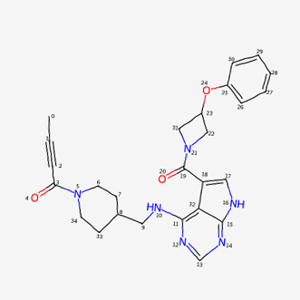 CC#CC(=O)N1CCC(CNc2ncnc3[nH]cc(C(=O)N4CC(Oc5ccccc5)C4)c23)CC1